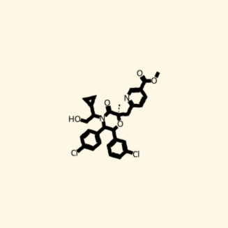 COC(=O)c1ccc(C[C@@]2(C)OC(c3cccc(Cl)c3)C(c3ccc(Cl)cc3)N(C(CO)C3CC3)C2=O)nc1